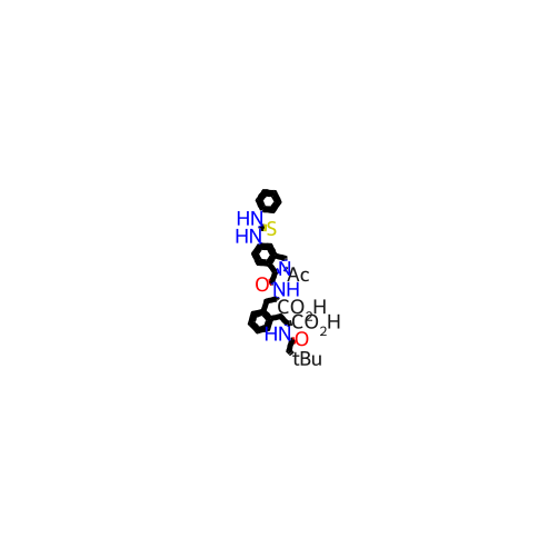 CC(=O)N1Cc2cc(NC(=S)Nc3ccccc3)ccc2C1C(=O)NC(Cc1ccccc1CC(NC(=O)CC(C)(C)C)C(=O)O)C(=O)O